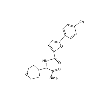 CNC(=O)[C@@H](NC(=O)c1ccc(-c2ccc(C#N)cc2)o1)C1CCOCC1